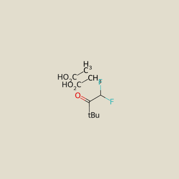 CC(=O)O.CC(=O)O.CC(C)(C)C(=O)C(F)F